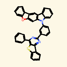 c1ccc(-c2nc(-c3cccc(-n4c5ccccc5c5cc6c(cc54)oc4ccccc46)c3)nc3c2sc2ccccc23)cc1